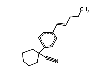 CCCC=Cc1ccc(C2(C#N)CCCCC2)cc1